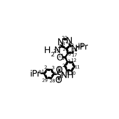 CC(C)c1ccc(S(=O)(=O)Nc2cccc(C(=O)c3cn(C(C)C)c4ncnc(N)c34)c2)cc1